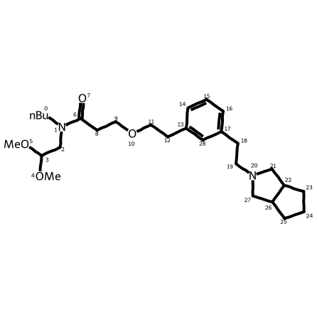 CCCCN(CC(OC)OC)C(=O)CCOCCc1cccc(CCN2CC3CCCC3C2)c1